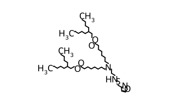 CCCCCC(CCCCC)CCOC(=O)CCCCCCCN(CCCCCCCC(=O)OCCC(CCCCC)CCCCC)CCCNSCc1ccon1